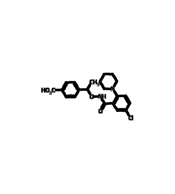 CC(ONC(=O)c1cc(Cl)ccc1N1CCCCC1)c1ccc(C(=O)O)cc1